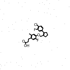 Cc1cc(OCC2=C(c3ccc(Cl)c(F)c3)CCC2)c(F)cc1CCC(=O)O